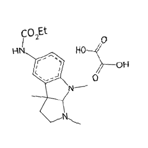 CCOC(=O)Nc1ccc2c(c1)C1(C)CCN(C)C1N2C.O=C(O)C(=O)O